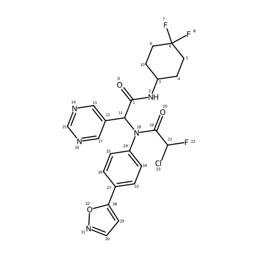 O=C(NC1CCC(F)(F)CC1)C(c1cncnc1)N(C(=O)C(F)Cl)c1ccc(-c2ccno2)cc1